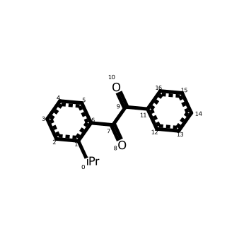 CC(C)c1ccccc1C(=O)C(=O)c1ccccc1